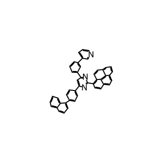 c1cncc(-c2cccc(-c3cc(-c4ccc(-c5cccc6ccccc56)cc4)nc(-c4ccc5ccc6cccc7ccc4c5c67)n3)c2)c1